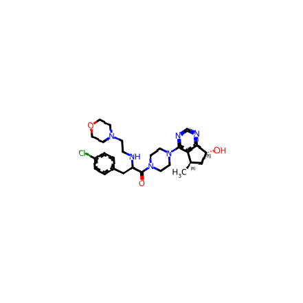 C[C@@H]1C[C@@H](O)c2ncnc(N3CCN(C(=O)C(Cc4ccc(Cl)cc4)NCCN4CCOCC4)CC3)c21